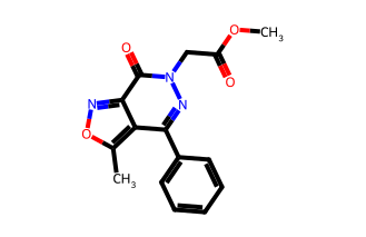 COC(=O)Cn1nc(-c2ccccc2)c2c(C)onc2c1=O